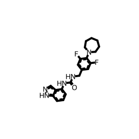 O=C(NCc1cc(F)c(N2CCCCCC2)c(F)c1)Nc1cccc2[nH]ncc12